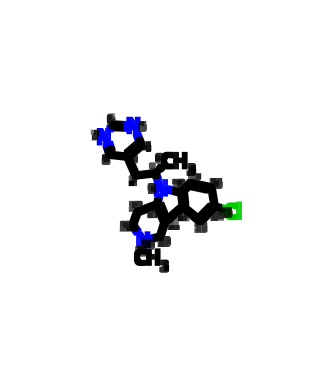 C[C@H](Cc1cncnc1)n1c2c(c3cc(Cl)ccc31)CN(C)CC2